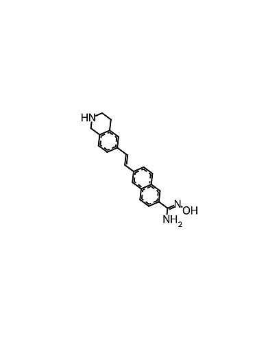 NC(=NO)c1ccc2cc(C=Cc3ccc4c(c3)CCNC4)ccc2c1